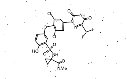 CNC(=O)C1(NS(=O)(=O)c2cc(Oc3c(Cl)cc(-n4nc(C(F)F)c(=O)[nH]c4=O)cc3Cl)ccc2O)CC1